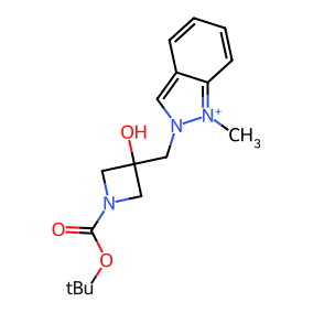 C[n+]1c2ccccc2cn1CC1(O)CN(C(=O)OC(C)(C)C)C1